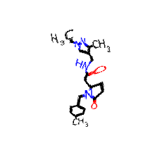 CCn1cc(CNC(=O)CC2CCC(=O)N2Cc2ccc(C)cc2)c(C)n1